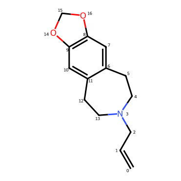 C=CCN1CCc2cc3c(cc2CC1)OCO3